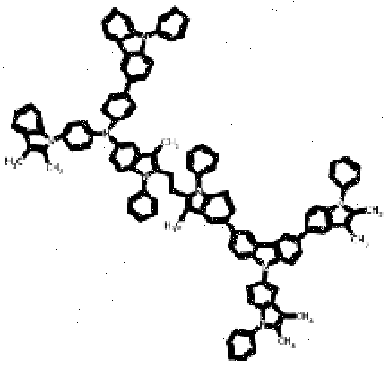 Cc1c(C)n(-c2ccc(N(c3ccc4c(c3)c(C)c(CCc3c(C)c5cc(-c6ccc7c(c6)c6cc(-c8ccc9c(c8)c(C)c(C)n9-c8ccccc8)ccc6n7-c6ccc7c(c6)c(C)c(C)n7-c6ccccc6)ccc5n3-c3ccccc3)n4-c3ccccc3)C3C=CC(c4ccc5c(c4)c4ccccc4n5-c4ccccc4)=CC3)cc2)c2ccccc12